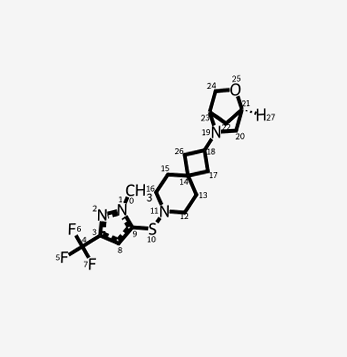 Cn1nc(C(F)(F)F)cc1SN1CCC2(CC1)CC(N1C[C@H]3CC1CO3)C2